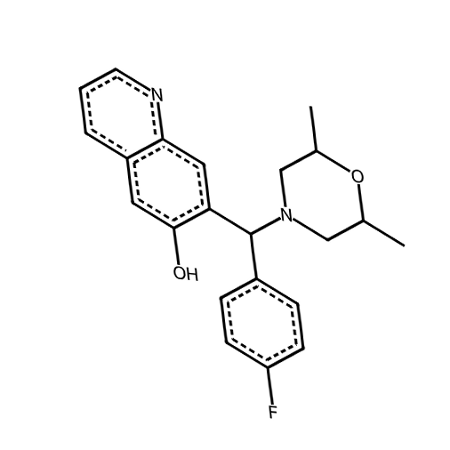 CC1CN(C(c2ccc(F)cc2)c2cc3ncccc3cc2O)CC(C)O1